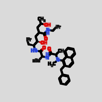 CCCC[C@H](NC(=O)C(C)N(C)c1c(Cc2ccccc2)ccc2ccccc12)C(=O)N[C@@H](CC(C)C)[C@@H](O)CC(CC(C)O)C(=O)NCC(C)C